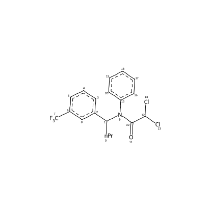 CCCC(c1cccc(C(F)(F)F)c1)N(C(=O)C(Cl)Cl)c1ccccc1